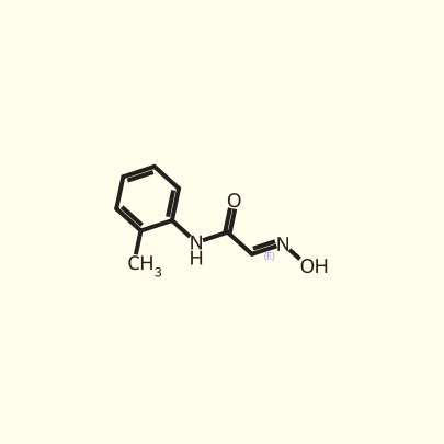 Cc1ccccc1NC(=O)/C=N/O